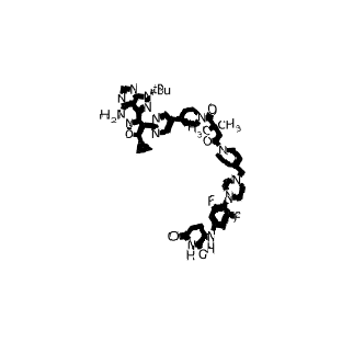 CC(C)(CC(=O)N1CCC(CN2CCN(c3c(F)cc(NC4CCC(=O)NC4=O)cc3F)CC2)CC1)C(=O)N1CCC(c2cnc(-c3c(-c4nn(C(C)(C)C)c5ncnc(N)c45)noc3C3CC3)nc2)CC1